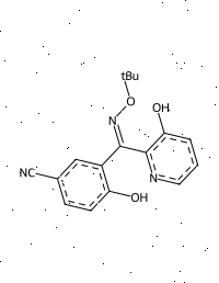 CC(C)(C)ON=C(c1cc(C#N)ccc1O)c1ncccc1O